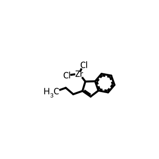 CCCC1=Cc2ccccc2[CH]1[Zr]([Cl])[Cl]